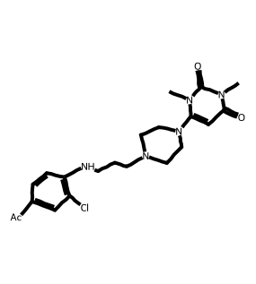 CC(=O)c1ccc(NCCCN2CCN(c3cc(=O)n(C)c(=O)n3C)CC2)c(Cl)c1